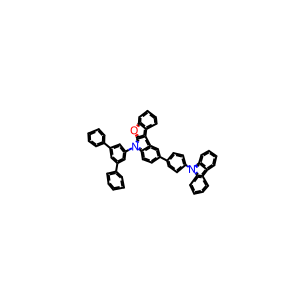 c1ccc(-c2cc(-c3ccccc3)cc(-n3c4ccc(-c5ccc(-n6c7ccccc7c7ccccc76)cc5)cc4c4c5ccccc5oc43)c2)cc1